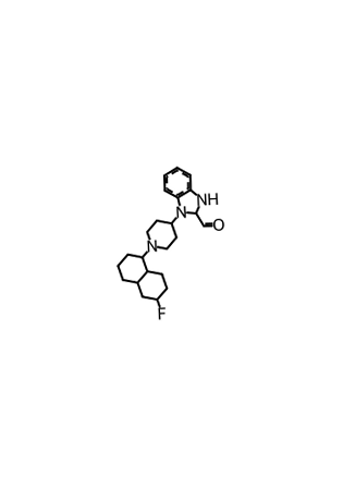 O=CC1Nc2ccccc2N1C1CCN(C2CCCC3CC(F)CCC32)CC1